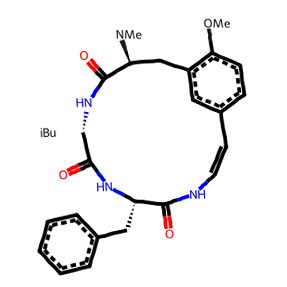 CC[C@H](C)[C@@H]1NC(=O)[C@@H](NC)Cc2cc(ccc2OC)/C=C\NC(=O)[C@H](Cc2ccccc2)NC1=O